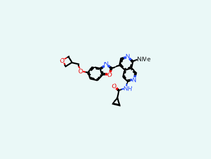 CNc1ncc(-c2nc3cc(OCC4COC4)ccc3o2)c2cc(NC(=O)C3CC3)ncc12